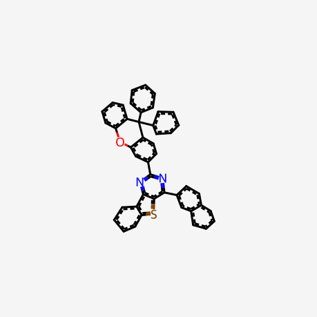 c1ccc(C2(c3ccccc3)c3ccccc3Oc3cc(-c4nc(-c5ccc6ccccc6c5)c5sc6ccccc6c5n4)ccc32)cc1